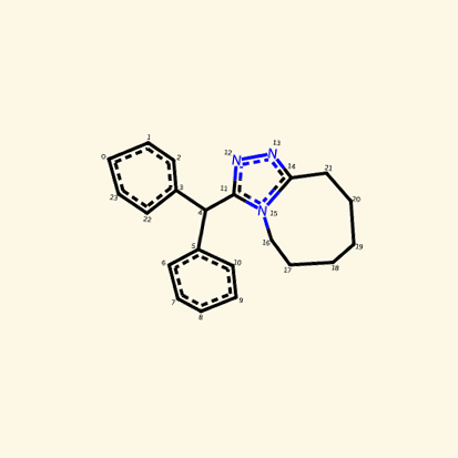 c1ccc(C(c2ccccc2)c2nnc3n2CCCCCC3)cc1